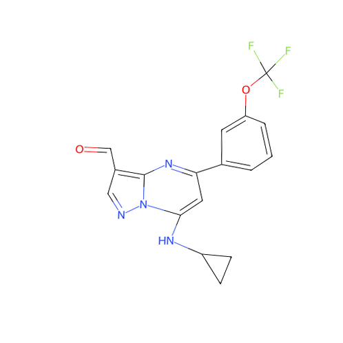 O=Cc1cnn2c(NC3CC3)cc(-c3cccc(OC(F)(F)F)c3)nc12